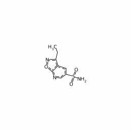 CCc1noc2ncc(S(N)(=O)=O)cc12